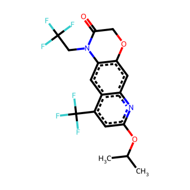 CC(C)Oc1cc(C(F)(F)F)c2cc3c(cc2n1)OCC(=O)N3CC(F)(F)F